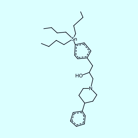 CCC[CH2][Sn]([CH2]CCC)([CH2]CCC)[c]1ccc(CC(O)CN2CCC(c3ccccc3)CC2)cc1